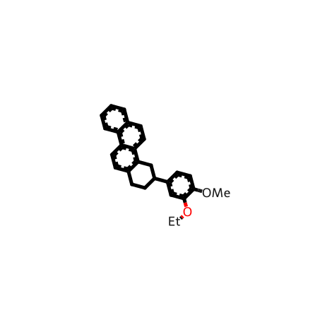 CCOc1cc(C2CCc3ccc4c(ccc5ccccc54)c3C2)ccc1OC